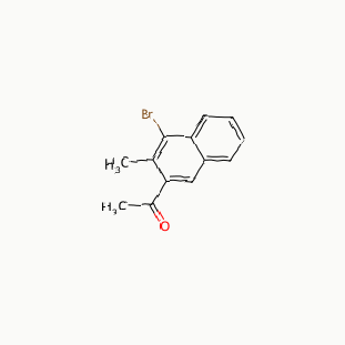 CC(=O)c1cc2ccccc2c(Br)c1C